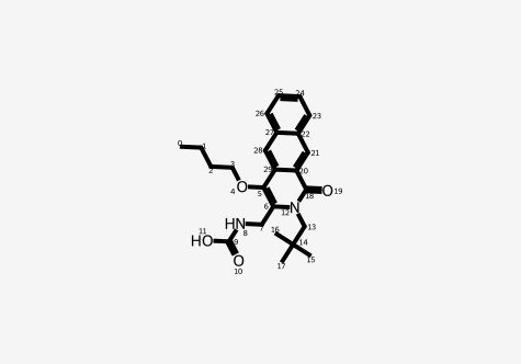 CCCCOc1c(CNC(=O)O)n(CC(C)(C)C)c(=O)c2cc3ccccc3cc12